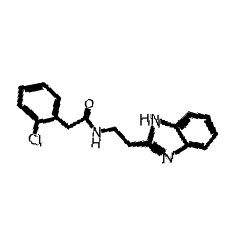 O=C(Cc1ccccc1Cl)NCCc1nc2ccccc2[nH]1